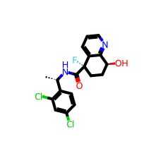 C[C@H](NC(=O)[C@]1(F)CC[C@H](O)c2ncccc21)c1ccc(Cl)cc1Cl